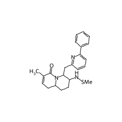 CSNC1CCC2CC=C(C)C(=O)N2C1Cc1cccc(-c2ccccc2)n1